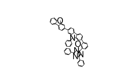 c1ccc(-c2nc(-c3ccccc3)nc(-c3cccc4c3oc3c4ccc4c5ccc(-c6ccc7c(c6)oc6ccccc67)cc5n(-c5ccccc5)c43)n2)cc1